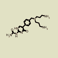 NCCCN(CCCN)Cc1ccc(-c2c[nH]c(NC(N)=O)nc2=O)cc1